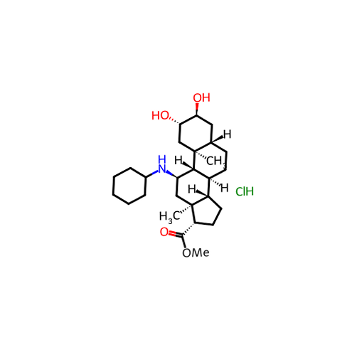 COC(=O)[C@H]1CC[C@H]2[C@@H]3CC[C@H]4C[C@H](O)[C@@H](O)C[C@]4(C)[C@H]3[C@H](NC3CCCCC3)C[C@]12C.Cl